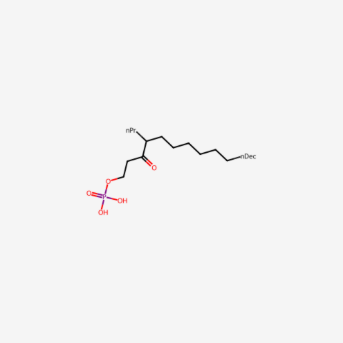 CCCCCCCCCCCCCCCCC(CCC)C(=O)CCOP(=O)(O)O